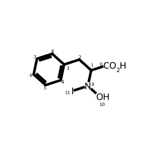 O=C(O)C(Cc1ccccc1)N(O)I